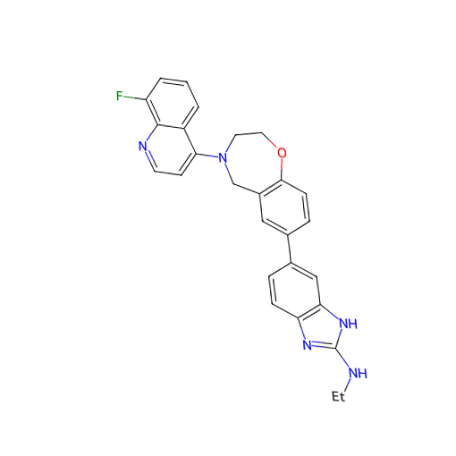 CCNc1nc2ccc(-c3ccc4c(c3)CN(c3ccnc5c(F)cccc35)CCO4)cc2[nH]1